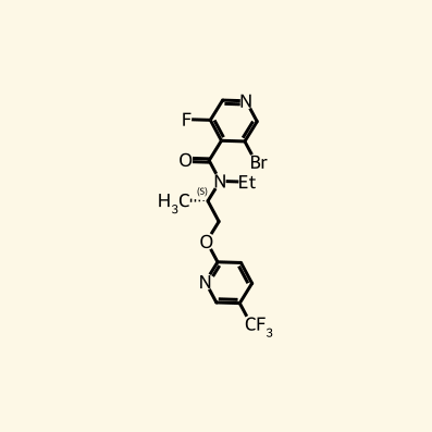 CCN(C(=O)c1c(F)cncc1Br)[C@@H](C)COc1ccc(C(F)(F)F)cn1